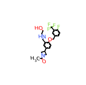 CC(=O)N1CC(c2ccc(OCc3ccc(F)c(C(F)(F)F)c3)c(CNCCO)c2)C1